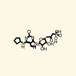 O=C(C[C@H]1O[C@@H](n2ncc3c(NC4CCCC4)nc(Cl)nc32)[C@H](O)[C@@H]1O)CP(=O)(O)O